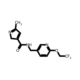 CC1=NCC(C(=O)NCc2ccc(OCC(F)(F)F)nc2)=C1